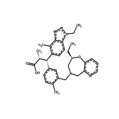 CC[C@@H]1CN(Cc2cc([C@@H](c3ccc4c(nnn4CC)c3C)[C@@H](C)C(=O)O)ccc2C)Cc2ncccc2O1